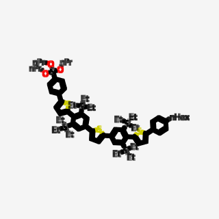 CCCCCCc1ccc(-c2ccc(-c3c([Si](CC)(CC)CC)cc(-c4ccc(-c5cc([Si](CC)(CC)CC)c(-c6ccc(-c7ccc([Si](OCCC)(OCCC)OCCC)cc7)s6)c([Si](CC)(CC)CC)c5)s4)cc3[Si](CC)(CC)CC)s2)cc1